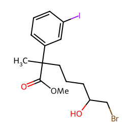 COC(=O)C(C)(CCCC(O)CBr)c1cccc(I)c1